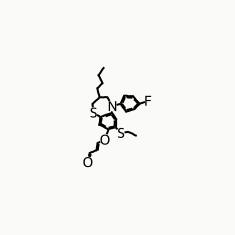 CCCCC1CSc2cc(O/C=C/C=O)c(SCC)cc2N(c2ccc(F)cc2)C1